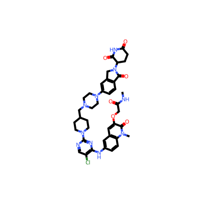 CNC(=O)COc1cc2cc(Nc3nc(N4CCC(CN5CCN(c6ccc7c(c6)CN(C6CCC(=O)NC6=O)C7=O)CC5)CC4)ncc3Cl)ccc2n(C)c1=O